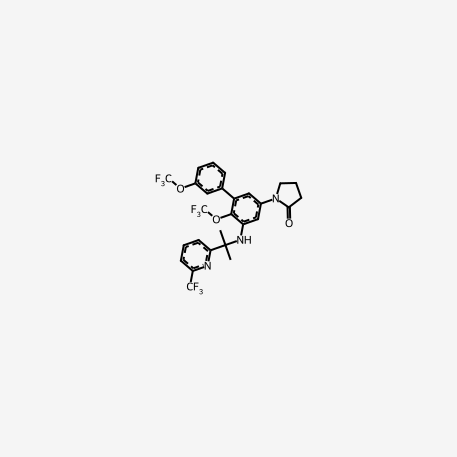 CC(C)(Nc1cc(N2CCCC2=O)cc(-c2cccc(OC(F)(F)F)c2)c1OC(F)(F)F)c1cccc(C(F)(F)F)n1